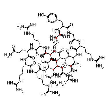 C[C@H](N)C(=O)N[C@@H](Cc1ccc(O)cc1)C(=O)NCC(=O)N[C@@H](CCCNC(=N)N)C(=O)N[C@@H](CCCNC(=N)N)C(=O)N[C@@H](CCCNC(=N)N)C(=O)N[C@@H](CCCNC(=N)N)C(=O)N[C@@H](CCCNC(=N)N)C(=O)N[C@@H](CCC(N)=O)C(=O)N[C@@H](CCCNC(=N)N)C(=O)N[C@@H](CCCNC(=N)N)C(=O)N[C@@H](CCCNC(=N)N)C(=O)N[C@@H](CCCNC(=N)N)C(N)=O